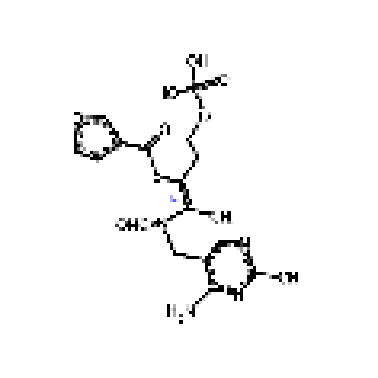 C/C(=C(\CCOP(=O)(O)O)SC(=O)c1ccoc1)N(C=O)Cc1cnc(C)nc1N